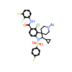 CC(=O)N1CCC2(CC1)c1c(ccc(C(=O)Nc3cccc(F)c3F)c1Cl)N(S(=O)(=O)c1ccc(F)cc1)C2C1CC1